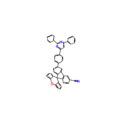 N#Cc1ccc2c(c1)-c1cc(-c3ccc(-c4cc(-c5ccccc5)nc(-c5ccccc5)n4)cc3)ccc1C21c2ccccc2Oc2ccccc21